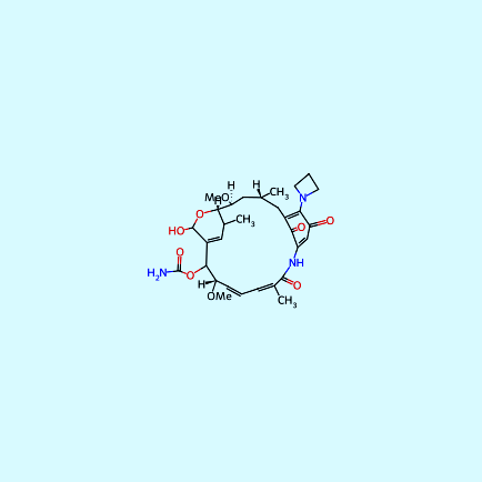 CO[C@H]1/C=C\C=C(/C)C(=O)NC2=CC(=O)C(N3CCC3)=C(C[C@@H](C)C[C@H](OC)[C@H]3OC(O)C(=CC3C)C1OC(N)=O)C2=O